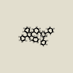 c1ccc(-c2nc(-c3ccccc3)nc(-c3cccc(-c4c5ccccc5c(-c5ccccc5)c5sc6ccccc6c45)c3)n2)cc1